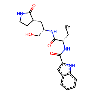 CC(C)C[C@H](NC(=O)c1cc2ccccc2[nH]1)C(=O)N[C@H](CO)C[C@@H]1CCNC1=O